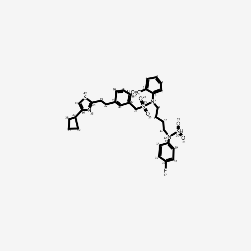 O=C(O)c1ccccc1N(CCCCN(c1ccc(F)cc1)[SH](=O)=O)S(=O)(=O)Cc1cccc(CCc2nc(C3CCC3)cs2)c1